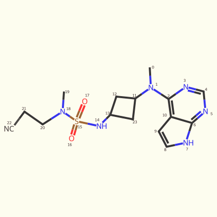 CN(c1ncnc2[nH]ccc12)C1CC(NS(=O)(=O)N(C)CCC#N)C1